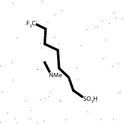 CNC.O=S(=O)(O)CCCCCCC(F)(F)F